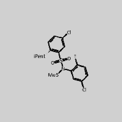 CCC[C@@H](C)c1ccc(Cl)cc1S(=O)(=O)N(SC)c1cc(Cl)ccc1F